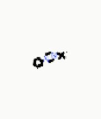 [CH2]C(C)(C)CN1CCN(c2ccccc2)CC1